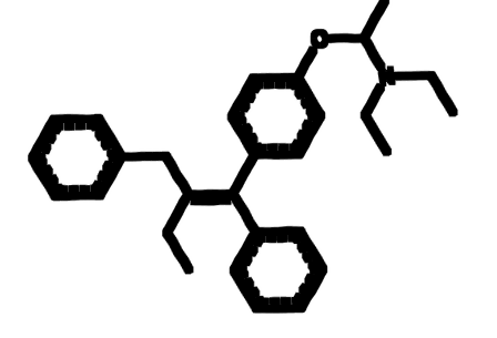 CC/C(Cc1ccccc1)=C(\c1ccccc1)c1ccc(OC(C)N(CC)CC)cc1